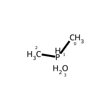 CPC.O